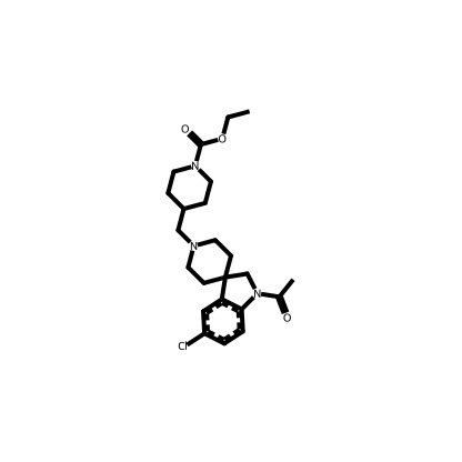 CCOC(=O)N1CCC(CN2CCC3(CC2)CN(C(C)=O)c2ccc(Cl)cc23)CC1